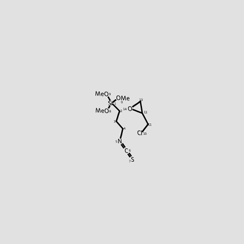 CO[Si](CCCN=C=S)(OC)OC.ClCC1CO1